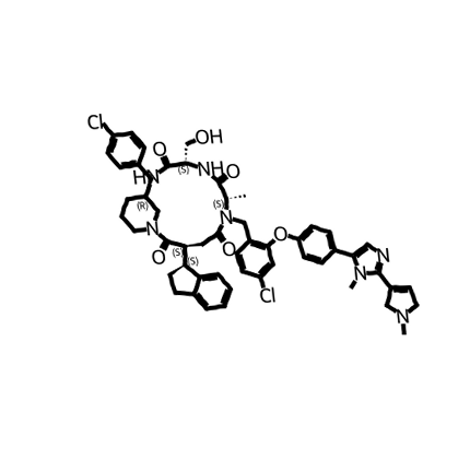 C[C@H]1C(=O)N[C@@H](CO)C(=O)N[C@@]2(Cc3ccc(Cl)cc3)CCCN(C2)C(=O)[C@H]([C@@H]2CCc3ccccc32)CC(=O)N1Cc1ccc(Cl)cc1Oc1ccc(-c2cnc(C3=CCN(C)C3)n2C)cc1